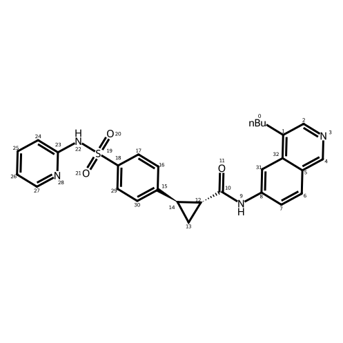 CCCCc1cncc2ccc(NC(=O)[C@@H]3C[C@H]3c3ccc(S(=O)(=O)Nc4ccccn4)cc3)cc12